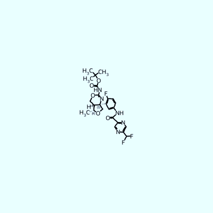 C[C@H]1OC[C@]2(c3cc(NC(=O)c4cnc(C(F)F)cn4)ccc3F)N=C(NC(=O)OC(C)(C)C)OC[C@H]12